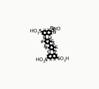 O=NS(=O)(=O)c1cc2c3c(cc(S(=O)(=O)O)cc3c1)Oc1c(F)c(F)c(-c3c(F)c(F)c4c(c3F)Oc3cc(S(=O)(=O)O)cc5cc(S(=O)(=O)O)cc(c35)O4)c(F)c1O2